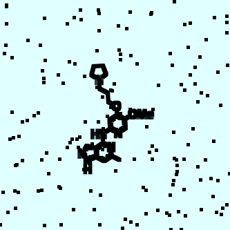 COc1cnc(Nc2nc(C)cc3[nH]ncc23)cc1OCCCN1CCCC1